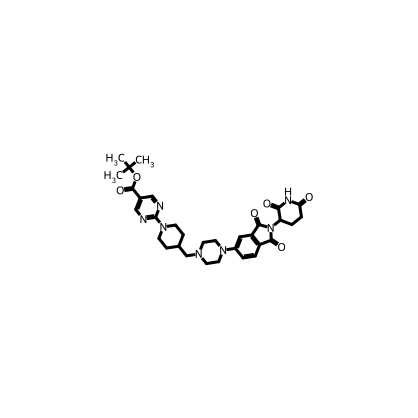 CC(C)(C)OC(=O)c1cnc(N2CCC(CN3CCN(c4ccc5c(c4)C(=O)N(C4CCC(=O)NC4=O)C5=O)CC3)CC2)nc1